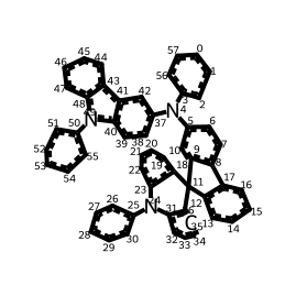 c1ccc(N(c2ccc3c(c2)C2(c4ccccc4-3)c3ccccc3N(c3ccccc3)c3ccccc32)c2ccc3c(c2)c2ccccc2n3-c2ccccc2)cc1